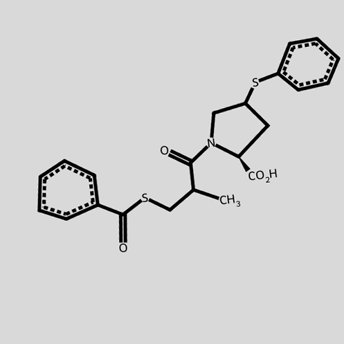 CC(CSC(=O)c1ccccc1)C(=O)N1CC(Sc2ccccc2)C[C@H]1C(=O)O